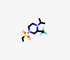 CCS(=O)(=O)N1CCN(C(C)C)C(C(F)(F)F)C1